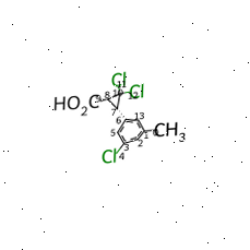 Cc1cc(Cl)cc([C@@H]2[C@@H](C(=O)O)C2(Cl)Cl)c1